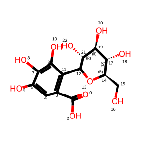 O=C(O)c1cc(O)c(O)c(O)c1C1O[C@H](CO)[C@@H](O)[C@H](O)[C@H]1O